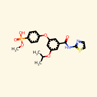 COP(=O)(O)c1ccc(Oc2cc(OC(C)C)cc(C(=O)Nc3nccs3)c2)cc1